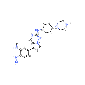 CNc1cc(-c2ccn3nc(NC4CCC(N5CCN(C)CC5)CC4)ncc23)ccc1N=N